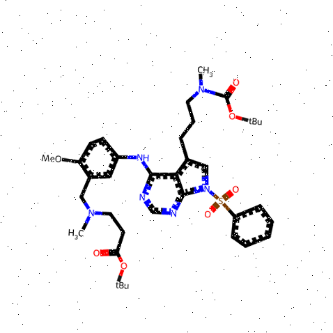 COc1ccc(Nc2ncnc3c2c(CCCN(C)C(=O)OC(C)(C)C)cn3S(=O)(=O)c2ccccc2)cc1CN(C)CCC(=O)OC(C)(C)C